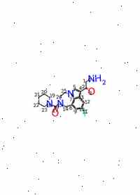 NCC(=O)c1cn2c3c(cc(F)cc13)CN(C(=O)N1CCCCC1)CC2